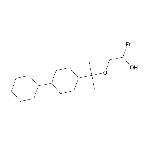 CCC(O)COC(C)(C)C1CCC(C2CCCCC2)CC1